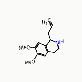 C=CC[C@H]1NCCc2cc(OC)c(OC)cc21